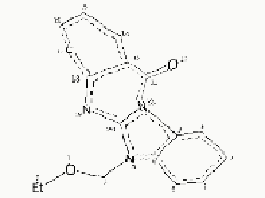 CCOCn1c2ccccc2n2c(=O)c3ccccc3nc12